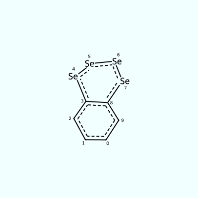 c1ccc2[se][se][se][se]c2c1